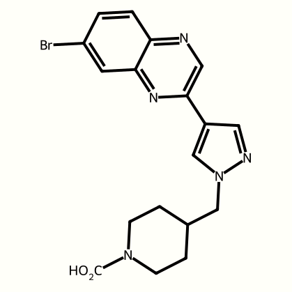 O=C(O)N1CCC(Cn2cc(-c3cnc4ccc(Br)cc4n3)cn2)CC1